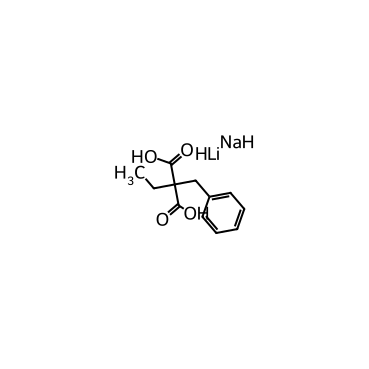 CCC(Cc1ccccc1)(C(=O)O)C(=O)O.[LiH].[NaH]